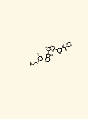 CN(C)CCOc1cc(F)cc(-c2nccc3[nH]c(-c4n[nH]c5ccc(-c6cncc(NC(=O)c7ccccc7)c6)nc45)cc23)c1